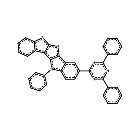 c1ccc(-c2nc(-c3ccccc3)nc(-c3ccc4c(c3)c3sc5sc6ccccc6c5c3n4-c3ccccc3)n2)cc1